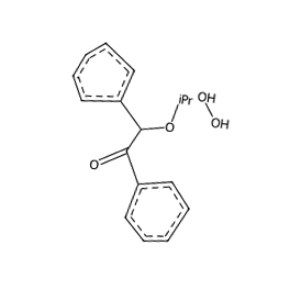 CC(C)OC(C(=O)c1ccccc1)c1ccccc1.OO